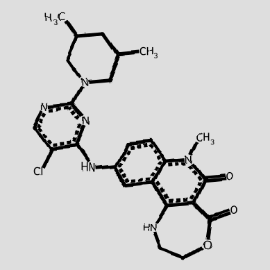 CC1CC(C)CN(c2ncc(Cl)c(Nc3ccc4c(c3)c3c(c(=O)n4C)C(=O)OCCN3)n2)C1